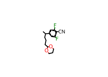 CC(CCCC1OCCCO1)c1cc(F)c(C#N)c(F)c1